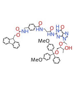 COc1ccc(C(OC[C@@H](OC(C)n2cnc3c(=O)[nH]c(NC(=O)CCNC(=O)c4ccc(CNC(=O)OCC5c6ccccc6-c6ccccc65)cc4)nc32)C(C)O)(c2ccccc2)c2ccc(OC)cc2)cc1